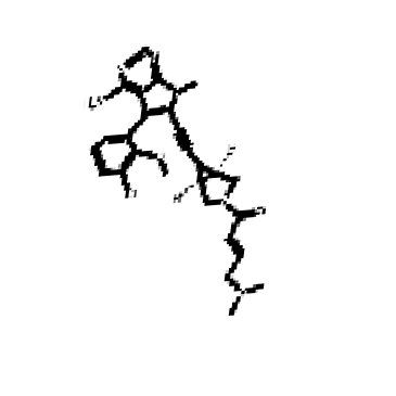 COc1c(Cl)cccc1-c1c(C#CC2[C@H]3CN(C(=O)/C=C/CN(C)C)C[C@@H]23)n(C)c2ncnc(N)c12